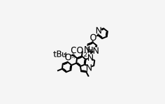 Cc1ccc(-c2c([C@H](OC(C)(C)C)C(=O)O)c(C)c3c4c2cc(C)n4CCN3c2ncc(Oc3ccccn3)cn2)cc1